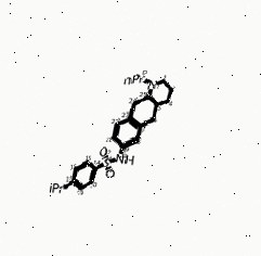 CCCN1CCCC2Cc3cc(NS(=O)(=O)c4ccc(C(C)C)cc4)ccc3CC21